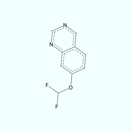 FC(F)Oc1ccc2cn[c]nc2c1